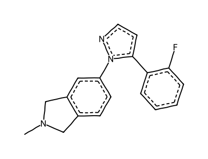 CN1Cc2ccc(-n3nccc3-c3ccccc3F)cc2C1